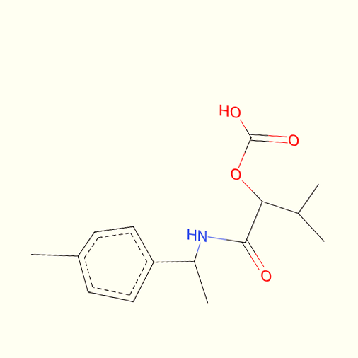 Cc1ccc(C(C)NC(=O)C(OC(=O)O)C(C)C)cc1